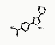 O=C(O)c1ccc(-c2nc(-c3cccnc3)cs2)cc1.[NaH]